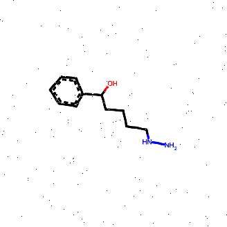 NNCCCCC(O)c1ccccc1